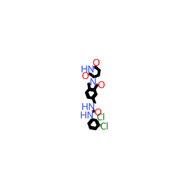 O=C1CCC(N2Cc3ccc(CNC(=O)Nc4cccc(Cl)c4Cl)cc3C2=O)C(=O)N1